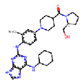 COc1cc(N2CCC(C(=O)N3CCC[C@H]3CO)CC2)ccc1Nc1nc(NC2CCCCC2)c2nc[nH]c2n1